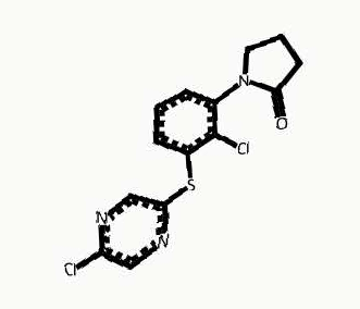 O=C1CCCN1c1cccc(Sc2cnc(Cl)cn2)c1Cl